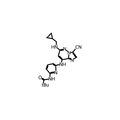 CC(C)(C)C(=O)Nc1cccc(Nc2cc(NCC3CC3)nn3c(C#N)cnc23)n1